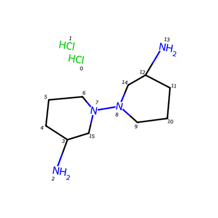 Cl.Cl.NC1CCCN(N2CCCC(N)C2)C1